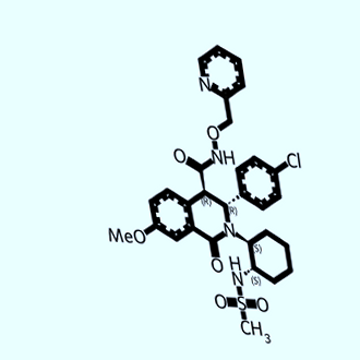 COc1ccc2c(c1)C(=O)N([C@H]1CCCC[C@@H]1NS(C)(=O)=O)[C@@H](c1ccc(Cl)cc1)[C@@H]2C(=O)NOCc1ccccn1